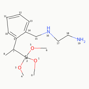 CO[Si](OC)(OC)C(C)c1ccccc1CNCCN